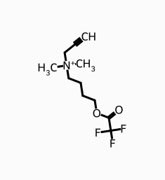 C#CC[N+](C)(C)CCCCOC(=O)C(F)(F)F